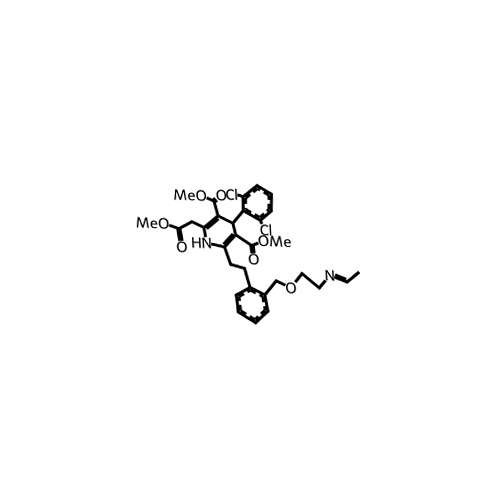 CC=NCCOCc1ccccc1CCC1=C(C(=O)OC)C(c2c(Cl)cccc2Cl)C(C(=O)OC)=C(CC(=O)OC)N1